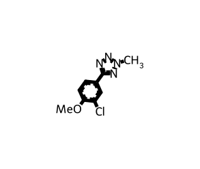 COc1ccc(-c2nnn(C)n2)cc1Cl